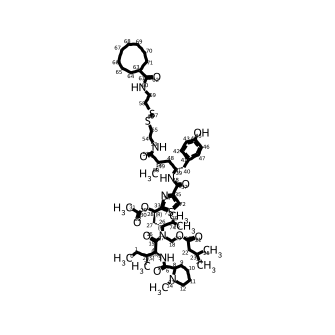 CC[C@H](C)[C@H](NC(=O)C1CCCCN1C)C(=O)N(COC(=O)CC(C)C)[C@H](C[C@@H](OC(C)=O)c1nc(C(=O)N[C@@H](Cc2ccc(O)cc2)C[C@H](C)C(=O)NCCSSCCNC(=O)C2CCCCCCCC2)cs1)C(C)C